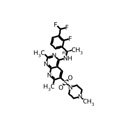 Cc1nc(N[C@H](C)c2cccc(C(F)F)c2F)c2cc(S(=O)(=O)N3CCN(C)CC3)c(C)nc2n1